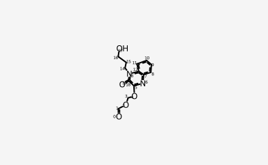 O=COCOc1nc2ccccc2n(CCCO)c1=O